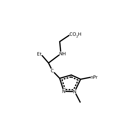 CCCc1cc(CC(CC)NCC(=O)O)nn1C